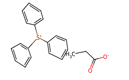 CCC(=O)[O-].c1ccc([S+](c2ccccc2)c2ccccc2)cc1